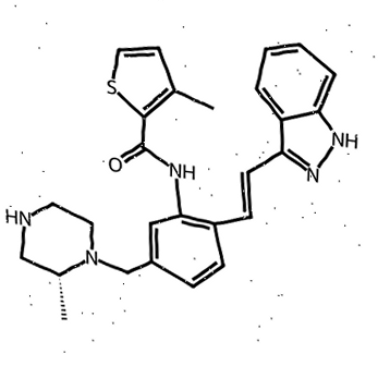 Cc1ccsc1C(=O)Nc1cc(CN2CCNC[C@H]2C)ccc1/C=C/c1n[nH]c2ccccc12